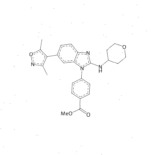 COC(=O)c1ccc(-n2c(NC3CCOCC3)nc3ccc(-c4c(C)noc4C)cc32)cc1